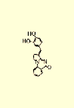 O=c1nc2n(c3ccccc13)CC/C2=C\c1ccc(O)c(O)c1